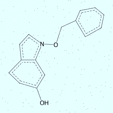 Oc1ccc2ccn(OCc3ccccc3)c2c1